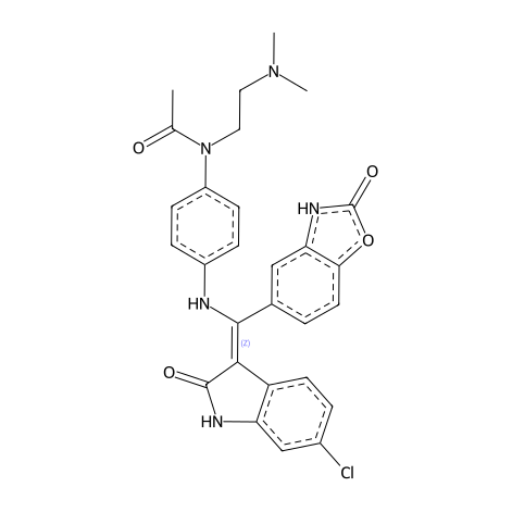 CC(=O)N(CCN(C)C)c1ccc(N/C(=C2\C(=O)Nc3cc(Cl)ccc32)c2ccc3oc(=O)[nH]c3c2)cc1